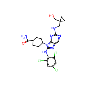 NC(=O)C1CCC(n2c(Nc3c(Cl)cc(Cl)cc3Cl)nc3cnc(NCC4(CO)CC4)nc32)CC1